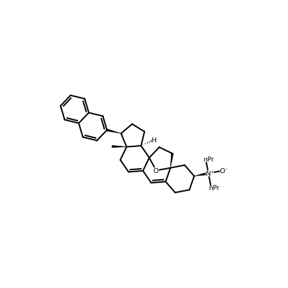 CCC[N+]([O-])(CCC)[C@H]1CCC2=CC3=CC[C@]4(C)[C@@H](c5ccc6ccccc6c5)CC[C@H]4C34CC[C@]2(C1)O4